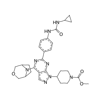 COC(=O)N1CCC(n2ncc3c(N4C5CCC4COC5)nc(-c4ccc(NC(=O)NC5CC5)cc4)nc32)CC1